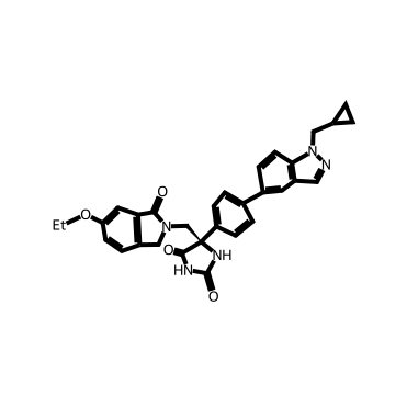 CCOc1ccc2c(c1)C(=O)N(C[C@@]1(c3ccc(-c4ccc5c(cnn5CC5CC5)c4)cc3)NC(=O)NC1=O)C2